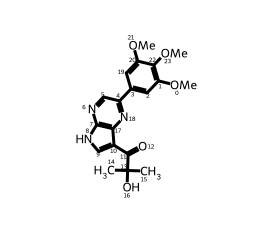 COc1cc(-c2cnc3[nH]cc(C(=O)C(C)(C)O)c3n2)cc(OC)c1OC